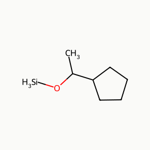 CC(O[SiH3])C1CCCC1